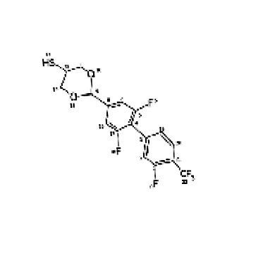 Fc1cc(-c2c(F)cc(C3OCC(S)CO3)cc2F)ccc1C(F)(F)F